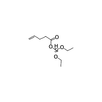 C=CCCC(=O)O[SiH](OCC)OCC